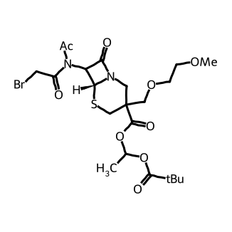 COCCOCC1(C(=O)OC(C)OC(=O)C(C)(C)C)CS[C@@H]2C(N(C(C)=O)C(=O)CBr)C(=O)N2C1